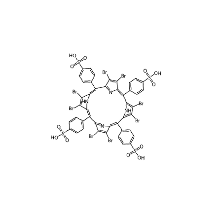 O=S(=O)(O)c1ccc(-c2c3nc(c(-c4ccc(S(=O)(=O)O)cc4)c4[nH]c(c(Br)c4Br)c(-c4ccc(S(=O)(=O)O)cc4)c4nc(c(-c5ccc(S(=O)(=O)O)cc5)c5[nH]c2c(Br)c5Br)C(Br)=C4Br)C(Br)=C3Br)cc1